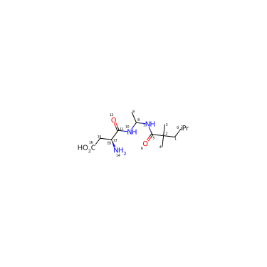 CC(C)CC(C)(C)C(=O)NC(C)NC(=O)[C@@H](N)CC(=O)O